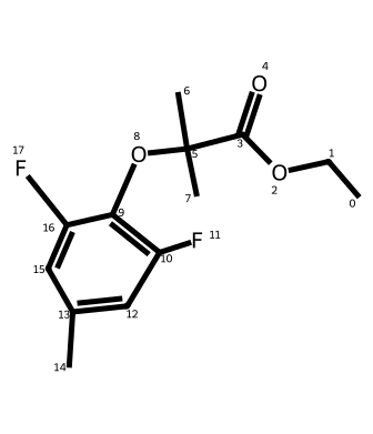 CCOC(=O)C(C)(C)Oc1c(F)cc(C)cc1F